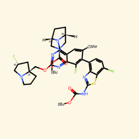 COc1cc2c(N3[C@@H]4CC[C@H]3CN(C(=O)OC(C)(C)C)C4)nc(OC[C@@]34CCCN3C[C@H](F)C4)nc2c(F)c1-c1ccc(F)c2sc(NC(=O)OC(C)(C)C)nc12